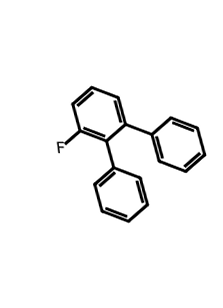 Fc1cccc(-c2ccccc2)c1-c1ccccc1